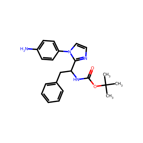 CC(C)(C)OC(=O)NC(Cc1ccccc1)c1nccn1-c1ccc(N)cc1